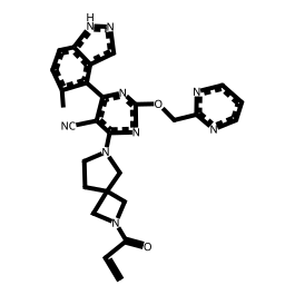 C=CC(=O)N1CC2(CCN(c3nc(OCc4ncccn4)nc(-c4c(C)ccc5[nH]ncc45)c3C#N)C2)C1